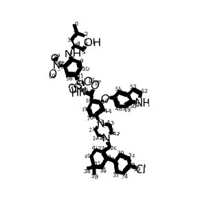 CC(C)C[C@@H](CO)Nc1ccc(S(=O)(=O)NC(=O)c2ccc(N3CCN(CC4=C(c5ccc(Cl)cc5)CC(C)(C)CC4)CC3)cc2Oc2ccc3[nH]ccc3c2)cc1[N+](=O)[O-]